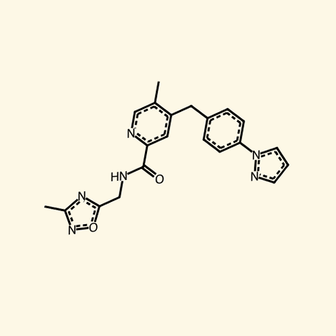 Cc1noc(CNC(=O)c2cc(Cc3ccc(-n4cccn4)cc3)c(C)cn2)n1